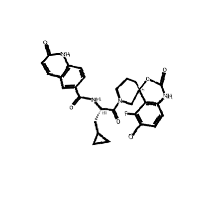 O=C1Nc2ccc(Cl)c(F)c2[C@@]2(CCCN(C(=O)[C@H](CC3CC3)NC(=O)c3ccc4[nH]c(=O)ccc4c3)C2)O1